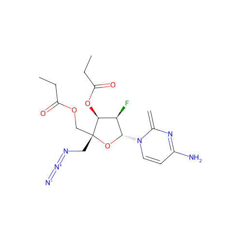 C=C1N=C(N)C=CN1[C@@H]1O[C@](CN=[N+]=[N-])(COC(=O)CC)[C@@H](OC(=O)CC)[C@H]1F